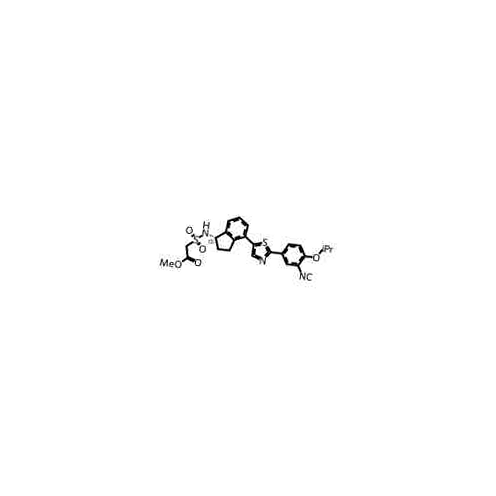 [C-]#[N+]c1cc(-c2ncc(-c3cccc4c3CC[C@@H]4NS(=O)(=O)CC(=O)OC)s2)ccc1OC(C)C